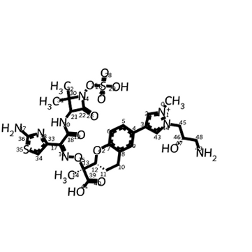 C[n+]1cc(-c2ccc3c(c2)CC[C@H]([C@](C)(O/N=C(\C(=O)NC2C(=O)N(OS(=O)(=O)O)C2(C)C)c2csc(N)n2)C(=O)O)O3)cn1C[C@@H](O)CN